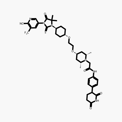 C[C@@H]1C[C@H](OCCO[C@H]2CC[C@H](N3C(=S)N(c4cnc(C#N)c(C(F)(F)F)c4)C(=O)C3(C)C)CC2)C[C@H](C)N1CC(=O)Nc1ccc(C2CCC(=O)NC2=O)cc1